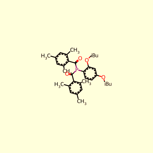 CCC(C)Oc1ccc(P(C(=O)c2c(C)cc(C)cc2C)C(=O)c2c(C)cc(C)cc2C)c(OC(C)CC)c1